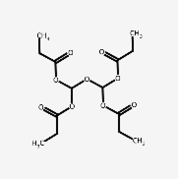 CCC(=O)OC(OC(=O)CC)OC(OC(=O)CC)OC(=O)CC